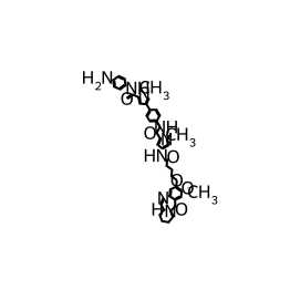 COc1cc2c(cc1OCCCC(=O)Nc1cc(C(=O)Nc3ccc(-c4cc(C(=O)Nc5ccc(N)cc5)n(C)c4)cc3)n(C)c1)N=C[C@@H]1CCCCN1C2=O